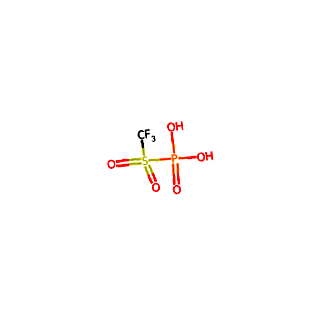 O=P(O)(O)S(=O)(=O)C(F)(F)F